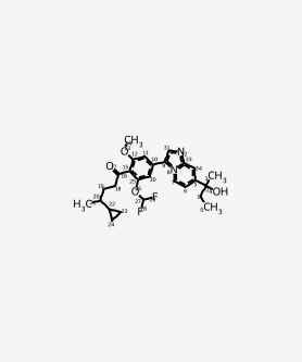 CCC(C)(O)c1ccn2c(-c3cc(OC)c(C(=O)CCC(C)C4CC4)c(OC(F)F)c3)cnc2c1